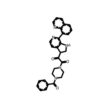 O=C(C(=O)N1CCN(C(=O)c2ccccc2)CC1)C1CNc2c1ccnc2-c1cccc2cccnc12